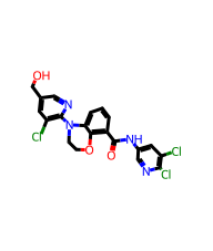 O=C(Nc1cnc(Cl)c(Cl)c1)c1cccc2c1OCCN2c1ncc(CO)cc1Cl